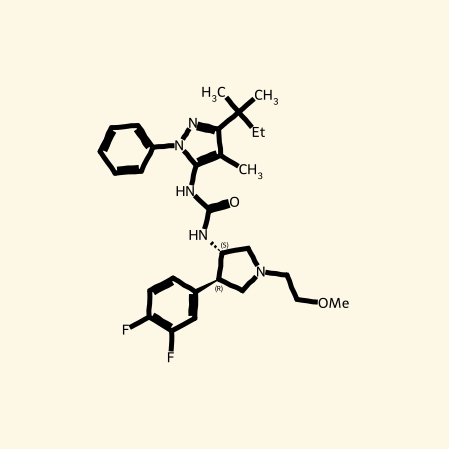 CCC(C)(C)c1nn(-c2ccccc2)c(NC(=O)N[C@@H]2CN(CCOC)C[C@H]2c2ccc(F)c(F)c2)c1C